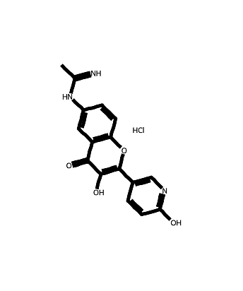 CC(=N)Nc1ccc2oc(-c3ccc(O)nc3)c(O)c(=O)c2c1.Cl